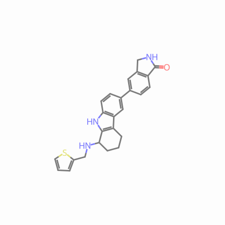 O=C1NCc2cc(-c3ccc4[nH]c5c(c4c3)CCCC5NCc3cccs3)ccc21